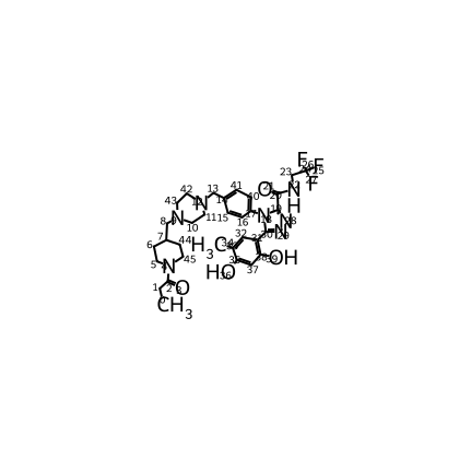 CCC(=O)N1CCC(CN2CCN(Cc3ccc(-n4c(C(=O)NCC(F)(F)F)nnc4-c4cc(C)c(O)cc4O)cc3)CC2)CC1